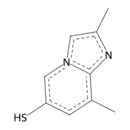 Cc1cn2cc(S)cc(C)c2n1